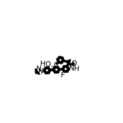 O=C(O)c1cccc(C2CC23C(=O)Nc2cc(F)c(-c4ccc(-c5ccc(-n6cccn6)cc5)cc4)cc23)c1